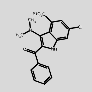 CCOC(=O)c1cc(Cl)cc2[nH]c(C(=O)c3ccccc3)c(N(C)C)c12